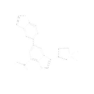 NC(=O)c1cc(-c2ccc3sccc3c2)cc2c(C3CCS(O)(O)C3)c[nH]c12